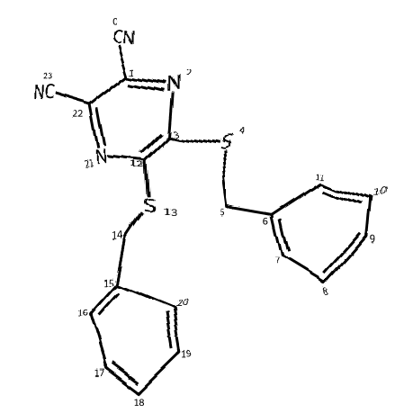 N#Cc1nc(SCc2ccccc2)c(SCc2ccccc2)nc1C#N